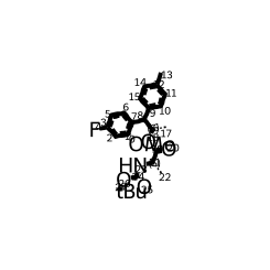 COc1cc(F)ccc1C(c1ccc(C)cc1)[C@H](C)OC(=O)[C@H](C)NC(=O)OC(C)(C)C